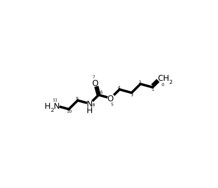 C=CCCCOC(=O)NCCN